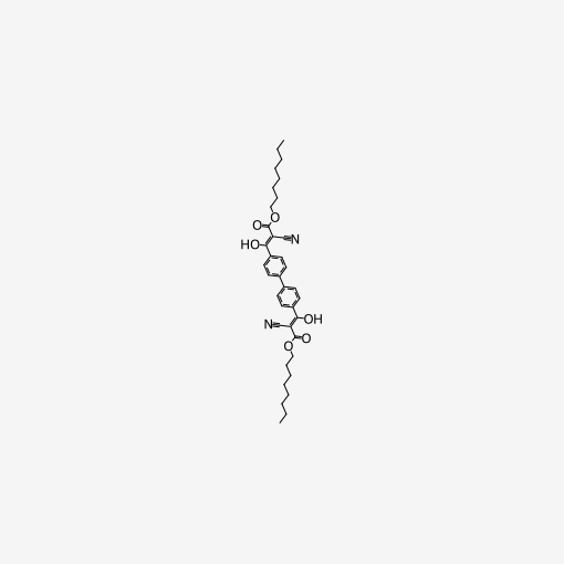 CCCCCCCCOC(=O)/C(C#N)=C(\O)c1ccc(-c2ccc(/C(O)=C(\C#N)C(=O)OCCCCCCCC)cc2)cc1